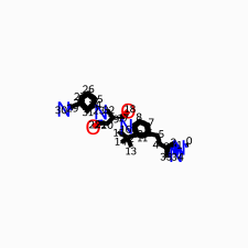 Cn1cc(CCc2ccc3c(c2)C(C)(C)CN3C(=O)[C@H]2CC(=O)N(c3cccc(C#N)c3)C2)cn1